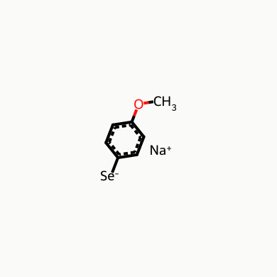 COc1ccc([Se-])cc1.[Na+]